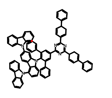 C1=CC(c2nc(C3=CCC(c4ccccc4)C=C3)nc(-c3cc(-c4ccccc4)c(-n4c5cc(-n6c7ccccc7c7ccccc76)ccc5c5c(-n6c7ccccc7c7ccccc76)cccc54)c(-c4ccccc4)c3)n2)CC=C1c1ccccc1